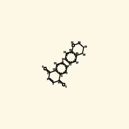 O=C1C=CC(=O)c2ccccc21.c1ccc2c(c1)CCCO2